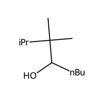 CCCCC(O)C(C)(C)C(C)C